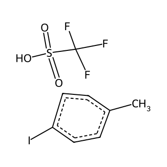 Cc1ccc(I)cc1.O=S(=O)(O)C(F)(F)F